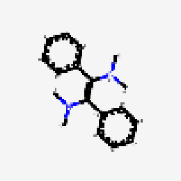 CN(C)C(=C(c1ccccc1)N(C)C)c1ccccc1